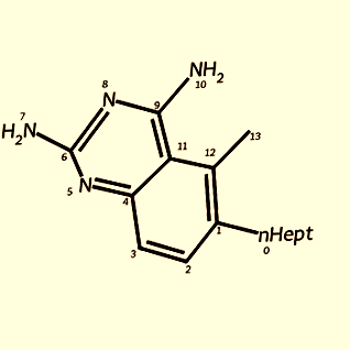 CCCCCCCc1ccc2nc(N)nc(N)c2c1C